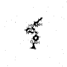 CCCc1cc(NC2=CN(Sc3ccc(NC(=O)C4CC4)cc3)CC3=NC=C[N+]23)n[nH]1